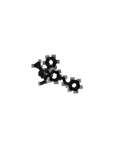 CCC(=O)C1(N(C(=O)C2CC2)c2ccccc2)CCN(CCc2ccccc2)CC1